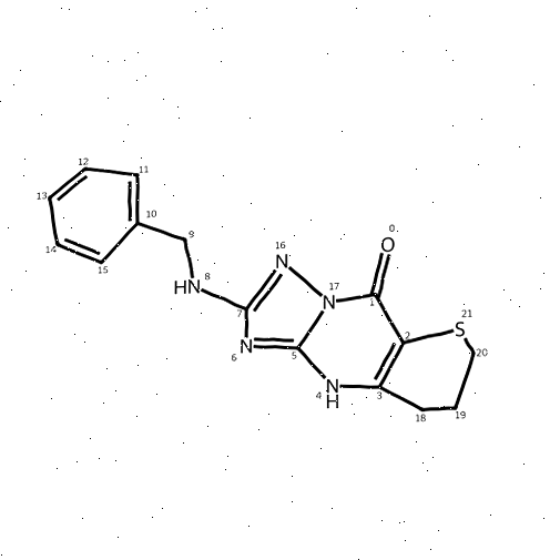 O=c1c2c([nH]c3nc(NCc4ccccc4)nn13)CCCS2